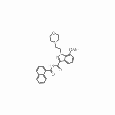 COc1cccc2c(C(=O)NC(=O)c3cccc4ccccc34)nn(CCN3CCOCC3)c12